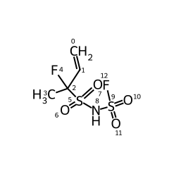 C=CC(C)(F)S(=O)(=O)NS(=O)(=O)F